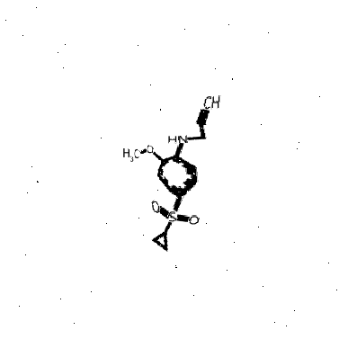 C#CCNc1ccc(S(=O)(=O)C2CC2)cc1OC